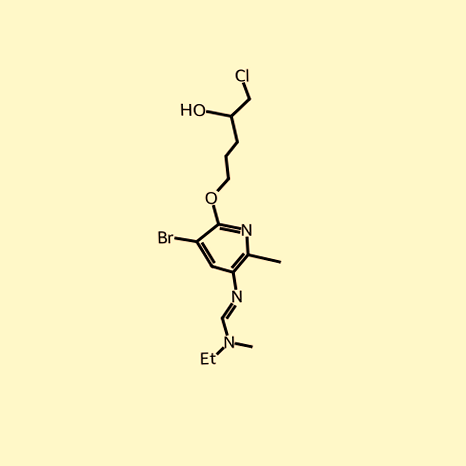 CCN(C)/C=N/c1cc(Br)c(OCCCC(O)CCl)nc1C